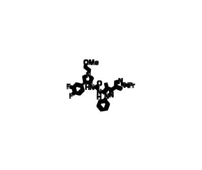 COCCN1C[C@@H](NC(=O)Nc2c(C)c(-c3cnn(C(C)C)c3)nn2-c2ccccc2)[C@H](c2ccc(F)c(F)c2)C1